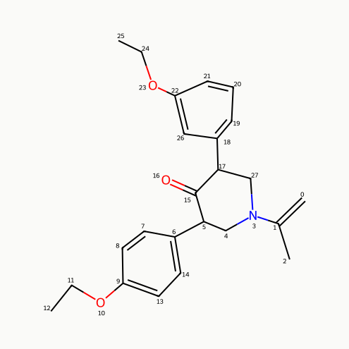 C=C(C)N1CC(c2ccc(OCC)cc2)C(=O)C(c2cccc(OCC)c2)C1